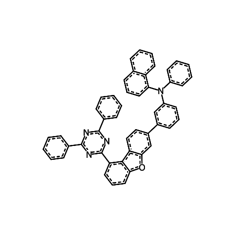 c1ccc(-c2nc(-c3ccccc3)nc(-c3cccc4oc5cc(-c6cccc(N(c7ccccc7)c7cccc8ccccc78)c6)ccc5c34)n2)cc1